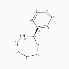 c1ccc([C@H]2CCCCCN2)cc1